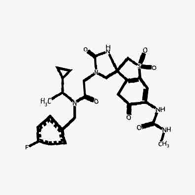 CNC(=O)NC1=CC2=C(CC1=O)C1(CN(CC(=O)N(Cc3ccc(F)cc3)C(C)C3CC3)C(=O)N1)CS2(=O)=O